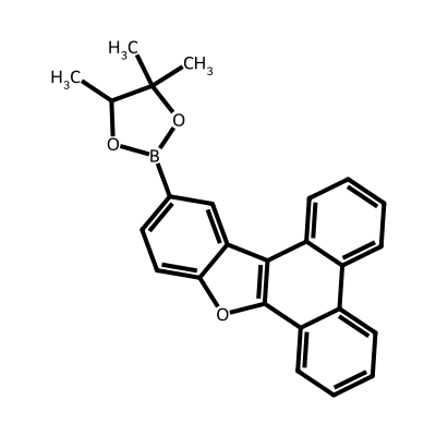 CC1OB(c2ccc3oc4c5ccccc5c5ccccc5c4c3c2)OC1(C)C